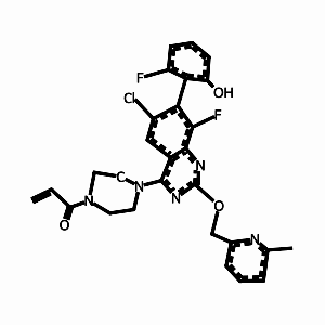 C=CC(=O)N1CCN(c2nc(OCc3cccc(C)n3)nc3c(F)c(-c4c(O)cccc4F)c(Cl)cc23)CC1